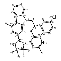 Cc1ccc(CC(C)Cn2c3ccccc3c3c(C)cc(B4OC(C)(C)C(C)(C)O4)cc32)c(-c2ccc(Cl)nc2)n1